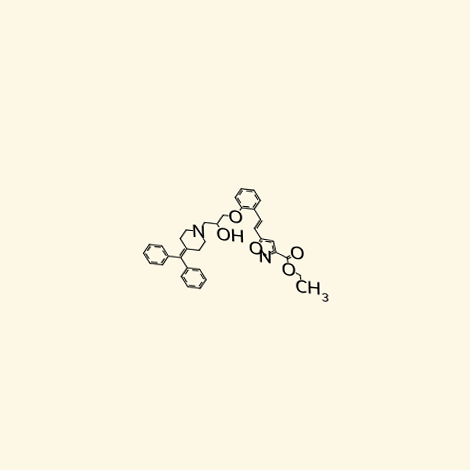 CCOC(=O)c1cc(C=Cc2ccccc2OCC(O)CN2CCC(=C(c3ccccc3)c3ccccc3)CC2)on1